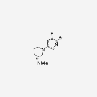 CN[C@@H]1CCCN(c2cnc(Br)c(F)c2)C1